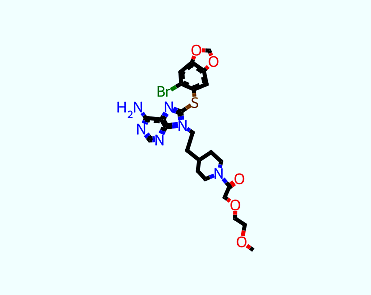 COCCOCC(=O)N1CCC(CCn2c(Sc3cc4c(cc3Br)OCO4)nc3c(N)ncnc32)CC1